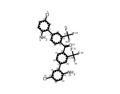 Nc1ccc(Cl)cc1-c1ccc(C(=O)c2ccc(-c3cc(Cl)ccc3N)cc2C(F)(F)F)c(C(F)(F)F)c1